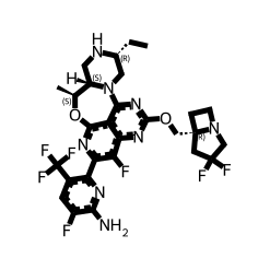 CC[C@@H]1CN2c3nc(OC[C@]45CCN4CC(F)(F)C5)nc4c(F)c(-c5nc(N)c(F)cc5C(F)(F)F)nc(c34)O[C@@H](C)[C@@H]2CN1